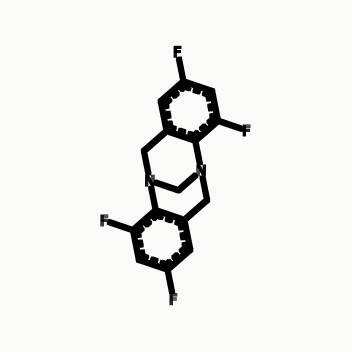 Fc1cc(F)c2c(c1)CN1CN2Cc2cc(F)cc(F)c21